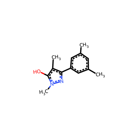 Cc1cc(C)cc(-c2nn(C)c(O)c2C)c1